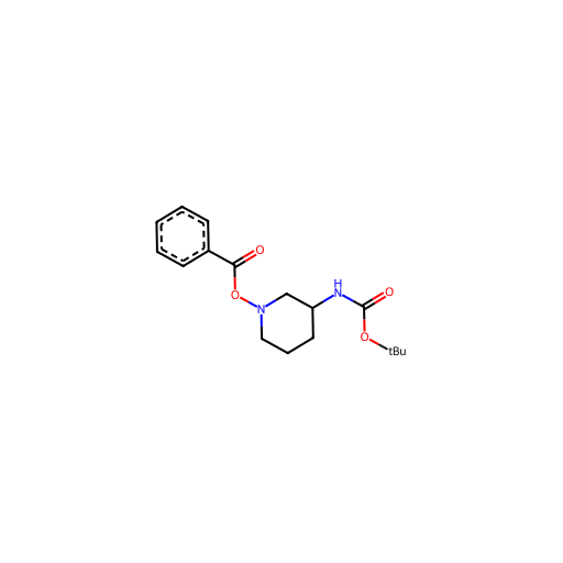 CC(C)(C)OC(=O)NC1CCCN(OC(=O)c2ccccc2)C1